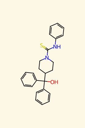 OC(c1ccccc1)(c1ccccc1)C1CCN(C(=S)Nc2ccccc2)CC1